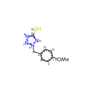 COc1ccc(Cn2nnc(S)n2)cc1